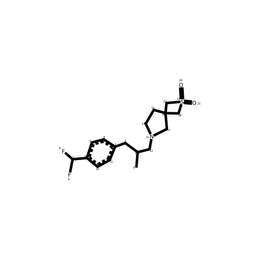 CC(Cc1ccc(C(F)F)cc1)CN1CCC2(C1)CS(=O)(=O)C2